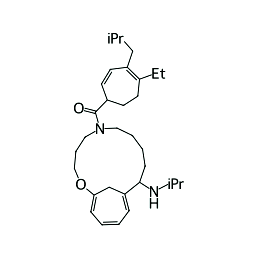 CCC1=C(CC(C)C)C=CC(C(=O)N2CCCCC(NC(C)C)C3=CC=CC=C(C3)OCCC2)CC1